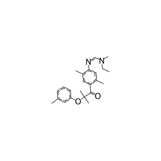 CCN(C)/C=N\c1cc(C)c(C(=O)C(C)(C)Oc2cccc(C)c2)cc1C